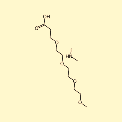 CNC.COCCOCCOCCOCCC(=O)O